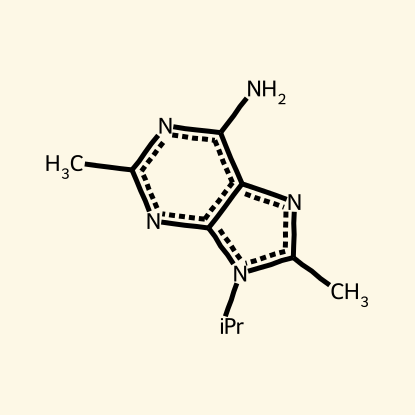 Cc1nc(N)c2nc(C)n(C(C)C)c2n1